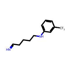 N=CCCCCNc1cccc(C(F)(F)F)c1